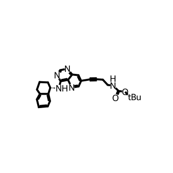 CC(C)(C)OC(=O)NCCC#Cc1cnc2c(N[C@H]3CCCc4ccccc43)ncnc2c1